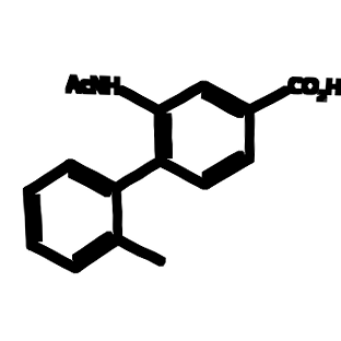 CC(=O)Nc1cc(C(=O)O)ccc1-c1ccccc1C